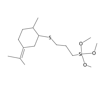 CO[Si](CCCSC1CC(=C(C)C)CCC1C)(OC)OC